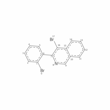 Brc1ccccc1-c1ncc2ccccc2c1Br